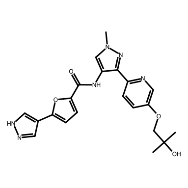 Cn1cc(NC(=O)c2ccc(-c3cn[nH]c3)o2)c(-c2ccc(OCC(C)(C)O)cn2)n1